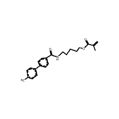 C=C(C)C(=O)OCCCCCNC(=O)c1ccc(-c2ccc(C#N)cc2)cc1